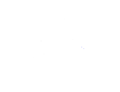 CCNc1cccc2c1OC1(CC1)C2=O